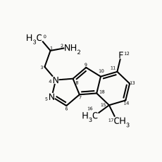 CC(N)Cn1ncc2c1=CC1=C(F)C=CC(C)(C)C=21